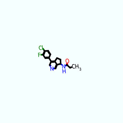 CCC(=O)NC1CCc2c(-c3ccc(Cl)c(F)c3)cncc21